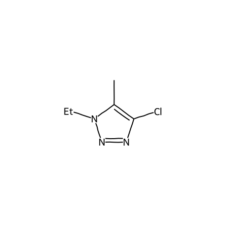 CCn1nnc(Cl)c1C